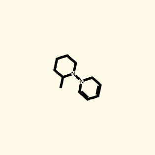 CC1CCCCN1N1C=CC=CC1